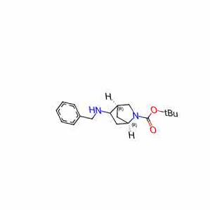 CC(C)(C)OC(=O)N1C[C@H]2C[C@@H]1CC2NCc1ccccc1